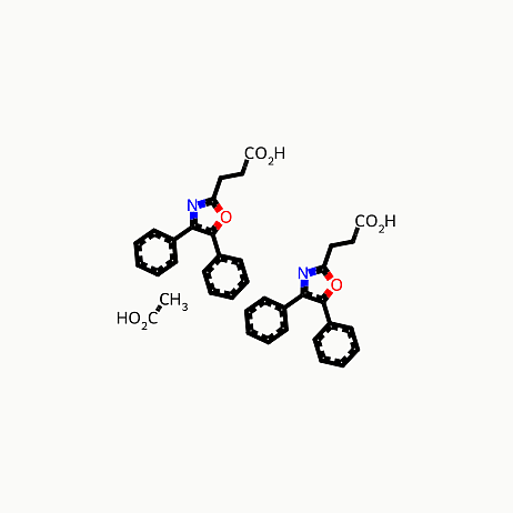 CC(=O)O.O=C(O)CCc1nc(-c2ccccc2)c(-c2ccccc2)o1.O=C(O)CCc1nc(-c2ccccc2)c(-c2ccccc2)o1